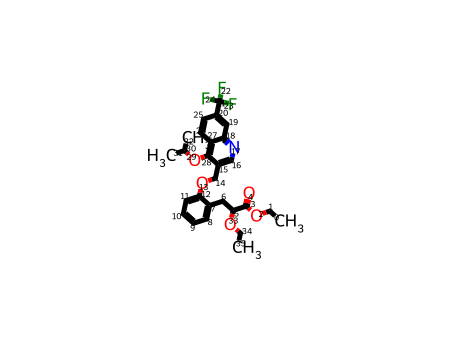 CCOC(=O)C(Cc1ccccc1OCc1cnc2cc(C(F)(F)F)ccc2c1OC(C)C)OCC